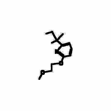 CCC(C)(C)c1cccc(OCCOC)n1